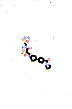 CS(=O)(=O)C(C(=O)NCCS(N)(=O)=O)c1nc2ccc(-c3ccc(C(=O)N4CCC(F)(F)C4)cc3)cc2s1